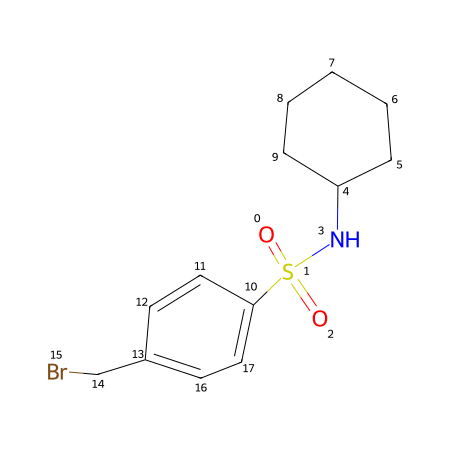 O=S(=O)(NC1CCCCC1)c1ccc(CBr)cc1